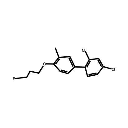 Cc1cc(-c2ccc(Cl)cc2Cl)ccc1OCCCF